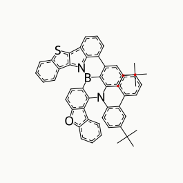 CC(C)(C)c1ccc(N2c3cc(C(C)(C)C)cc4c3B(c3ccc5oc6ccccc6c5c32)n2c3c-4cccc3c3sc4ccccc4c32)c(-c2ccccc2)c1